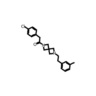 Cc1cccc(CCN2CC3(C2)CN(C(=O)Cc2ccc(Cl)cc2)C3)c1